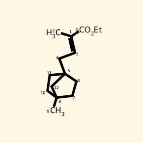 CCOC(=O)/C(C)=C/CC12CCC(C)(CC1)C2